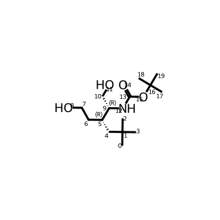 CC(C)(C)C[C@H](CCO)[C@H](CO)NC(=O)OC(C)(C)C